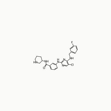 O=C(NC1CCCNC1)c1cccc(Nc2ncc(Cl)c(NCc3cccc(F)c3)n2)c1